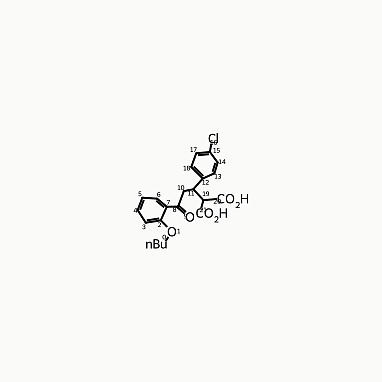 CCCCOc1ccccc1C(=O)CC(c1ccc(Cl)cc1)C(C(=O)O)C(=O)O